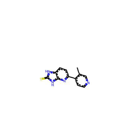 Cc1cnccc1-c1ccc2[nH]c(=S)[nH]c2n1